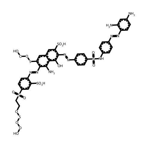 Nc1ccc(/N=N/c2ccc(NS(=O)(=O)c3ccc(/N=N/c4c(S(=O)(=O)O)cc5cc(SOOO)c(/N=N/c6ccc(S(=O)(=O)CCOSOOO)cc6S(=O)(=O)O)c(N)c5c4O)cc3)cc2)c(N)c1